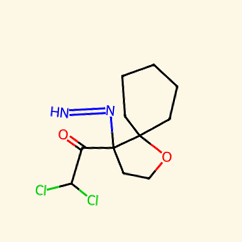 N=NC1(C(=O)C(Cl)Cl)CCOC12CCCCC2